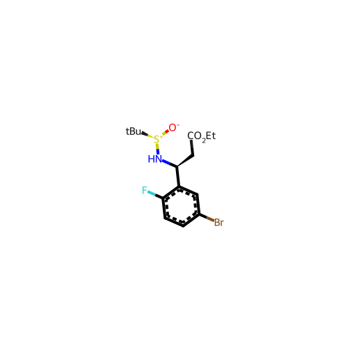 CCOC(=O)C[C@H](N[S@+]([O-])C(C)(C)C)c1cc(Br)ccc1F